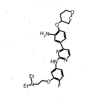 CCN(CC)CCOc1cc(Nc2nccc(-c3ccc(OC4CCOCC4)c(N)c3)n2)ccc1F